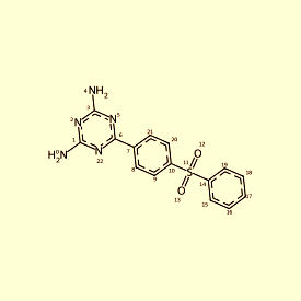 Nc1nc(N)nc(-c2ccc(S(=O)(=O)c3ccccc3)cc2)n1